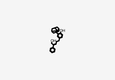 OCC(=CCCc1ccc(O)c(C23CC4CC(CC(C4)C2)C3)c1)c1ccccc1